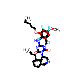 C=CCCCOc1cc(OC)cc(Cl)c1Nc1nc(=O)n(-c2cncc3cccc(CC=C)c23)c(=O)n1Cc1cc(F)c(F)cc1F